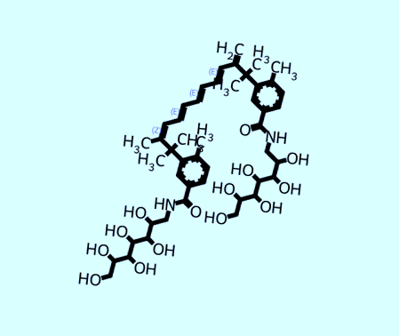 C=C(/C=C/C=C/C=C/C=C(/C)C(C)(C)c1cc(C(=O)NCC(O)C(O)C(O)C(O)C(O)CO)ccc1C)C(C)(C)c1cc(C(=O)NCC(O)C(O)C(O)C(O)C(O)CO)ccc1C